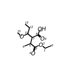 CCOC(=O)C(C)C(C(=O)O)C(CC)OC